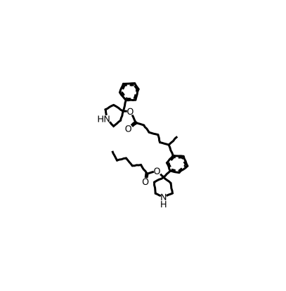 CCCCCC(=O)OC1(c2cccc(C(C)CCCCC(=O)OC3(c4ccccc4)CCNCC3)c2)CCNCC1